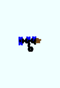 Cc1cc(-c2ncc(-c3cncnc3)cc2/C=C/c2ccccc2)cnc1Br